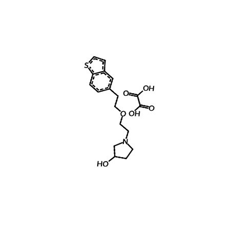 O=C(O)C(=O)O.OC1CCN(CCOCCc2ccc3sccc3c2)C1